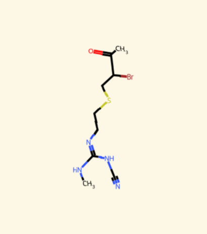 CN/C(=N/CCSCC(Br)C(C)=O)NC#N